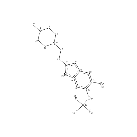 CN1CCN(CCn2cc3cc(Br)c(OC(F)(F)F)cc3n2)CC1